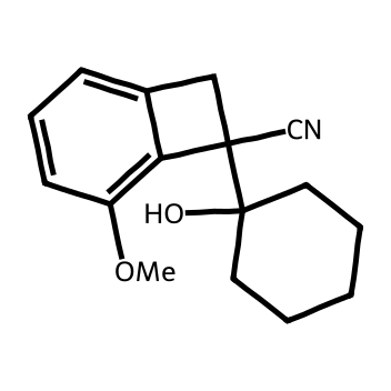 COc1cccc2c1C(C#N)(C1(O)CCCCC1)C2